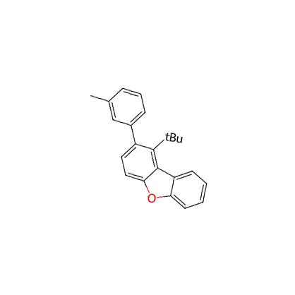 Cc1cccc(-c2ccc3oc4ccccc4c3c2C(C)(C)C)c1